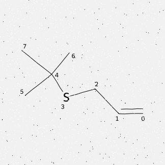 C=CCSC(C)(C)C